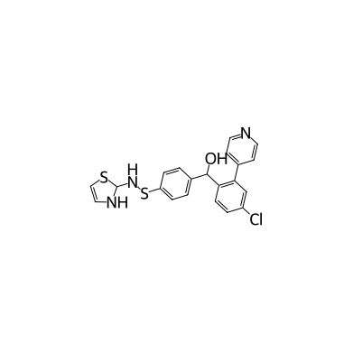 OC(c1ccc(SNC2NC=CS2)cc1)c1ccc(Cl)cc1-c1ccncc1